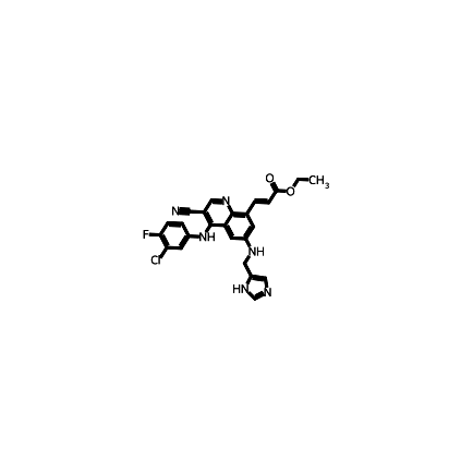 CCOC(=O)/C=C/c1cc(NCc2cnc[nH]2)cc2c(Nc3ccc(F)c(Cl)c3)c(C#N)cnc12